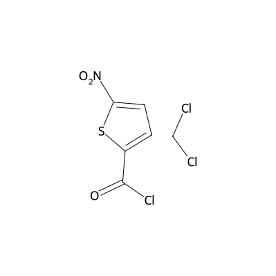 ClCCl.O=C(Cl)c1ccc([N+](=O)[O-])s1